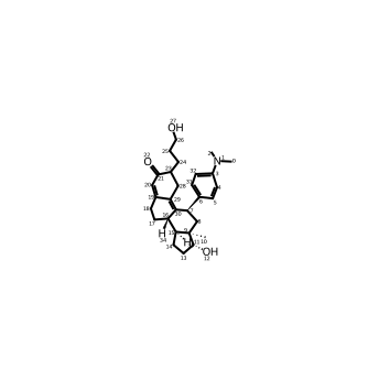 CN(C)c1ccc([C@H]2C[C@@]3(C)[C@H](O)CC[C@H]3[C@@H]3CCC4=CC(=O)C(CCCO)CC4=C32)cc1